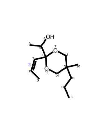 C/C=C\C1(C(C)O)OCC(C)(CCC)CO1